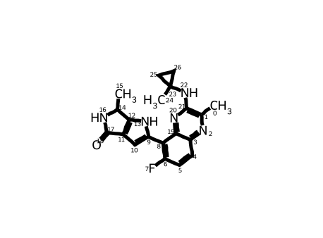 Cc1nc2ccc(F)c(-c3cc4c([nH]3)C(C)NC4=O)c2nc1NC1(C)CC1